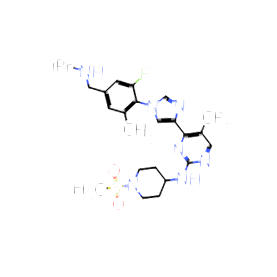 Cc1cc(CNC(C)C)cc(F)c1-n1cnc(-c2nc(NC3CCN(S(C)(=O)=O)CC3)ncc2C(F)(F)F)c1